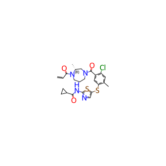 C=CC(=O)N1CCCN(C(=O)c2cc(Sc3cnc(NC(=O)C4CC4)s3)c(C)cc2Cl)C[C@H]1C